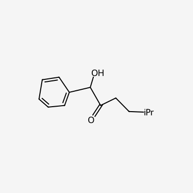 CC(C)CCC(=O)C(O)c1ccccc1